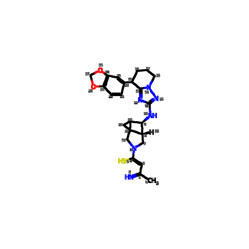 CC(=N)/C=C(\S)N1C[C@H]2[C@H](Nc3nc4n(n3)CCCC4c3ccc4c(c3)OCO4)C3CC32C1